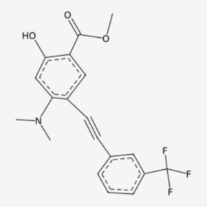 COC(=O)c1cc(C#Cc2cccc(C(F)(F)F)c2)c(N(C)C)cc1O